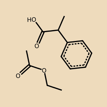 CC(C(=O)O)c1ccccc1.CCOC(C)=O